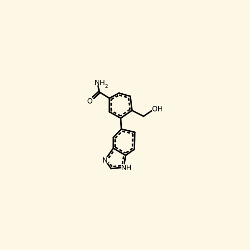 NC(=O)c1ccc(CO)c(-c2ccc3[nH]cnc3c2)c1